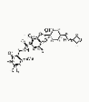 CSc1cc(C)[nH]c(=O)c1CNC(=O)c1cc(Cl)c2c(c1C)O[C@@](C)([C@H]1CC[C@H](CNC3COC3)CC1)O2